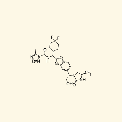 Cc1nonc1C(=O)N[C@H](c1nc2cc([C@@H](CO)N3C[C@@H](C(F)(F)F)NC3=O)ccc2o1)C1CCC(F)(F)CC1